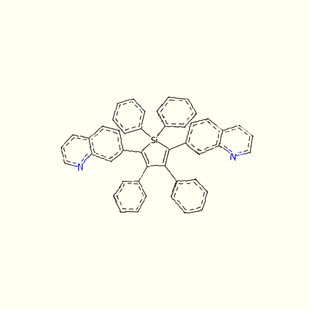 c1ccc(C2=C(c3ccc4cccnc4c3)[Si](c3ccccc3)(c3ccccc3)C(c3ccc4cccnc4c3)=C2c2ccccc2)cc1